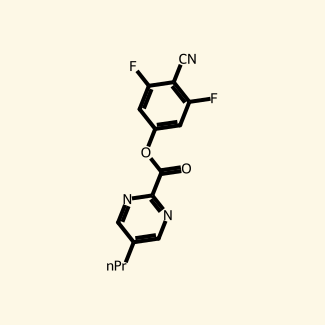 CCCc1cnc(C(=O)Oc2cc(F)c(C#N)c(F)c2)nc1